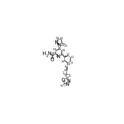 Cc1nnc(C(C)(C)C#Cc2cccc(-c3cc(-n4nccc4C)cc(C(N)=O)n3)c2)o1